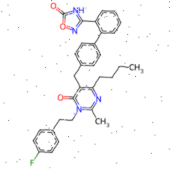 CCCCc1nc(C)n(CCc2ccc(F)cc2)c(=O)c1Cc1ccc(-c2ccccc2-c2noc(=O)[nH]2)cc1